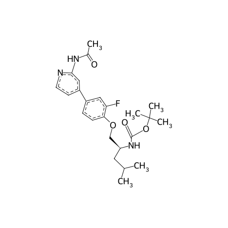 CC(=O)Nc1cc(-c2ccc(OC[C@H](CC(C)C)NC(=O)OC(C)(C)C)c(F)c2)ccn1